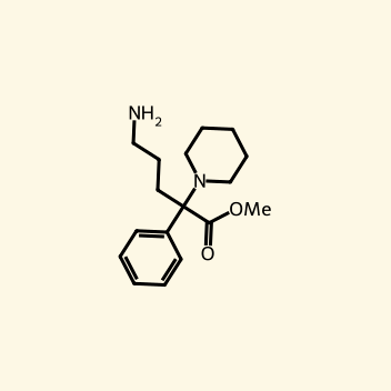 COC(=O)C(CCCN)(c1ccccc1)N1CCCCC1